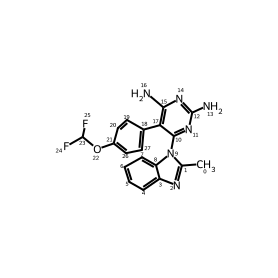 Cc1nc2ccccc2n1-c1nc(N)nc(N)c1-c1ccc(OC(F)F)cc1